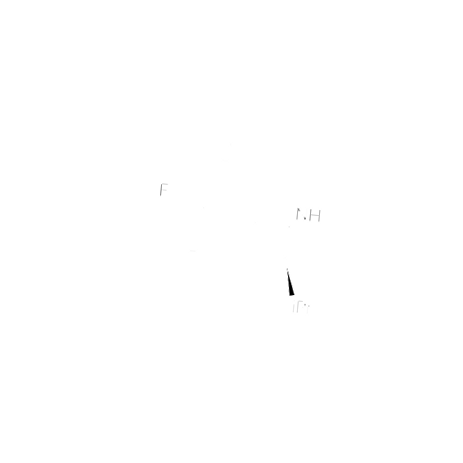 CC(C)[C@@H]1N[C@H]1C(F)(F)F